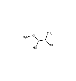 [CH2]C(O)C(O)OC